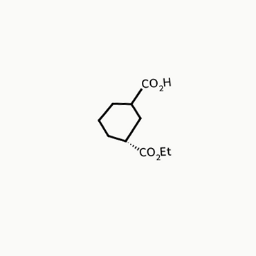 CCOC(=O)[C@@H]1CCCC(C(=O)O)C1